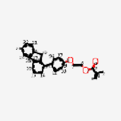 C=C(C)C(=O)OCCOc1ccc(-c2cccc3c2Cc2ccccc2-3)cc1